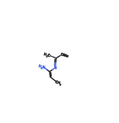 C/C=C(N)\N=C(/C)OC